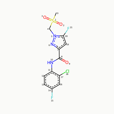 CS(=O)(=O)Cn1nc(C(=O)Nc2ccc(F)cc2Cl)cc1F